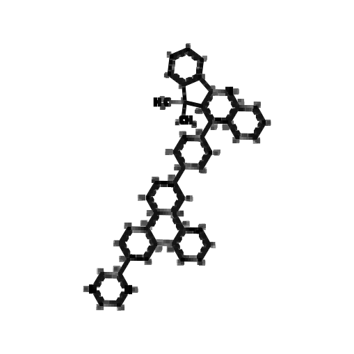 CC1(C)c2ccccc2-c2nc3ccccc3c(-c3ccc(-c4ccc5c6ccc(-c7cnccn7)cc6c6ccccc6c5c4)cc3)c21